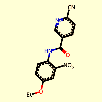 CCOc1ccc(NC(=O)c2ccc(C#N)nc2)c([N+](=O)[O-])c1